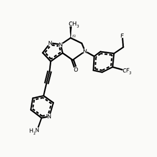 C[C@H]1CN(c2ccc(C(F)(F)F)c(CF)c2)C(=O)c2c(C#Cc3ccc(N)nc3)cnn21